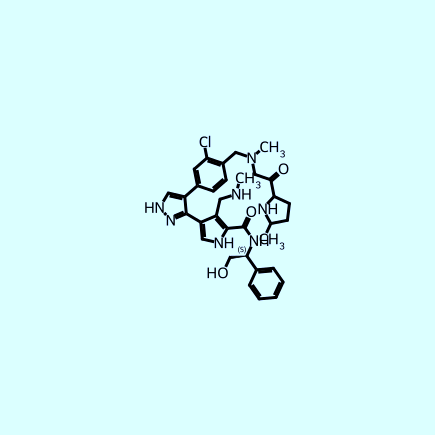 CNCc1c(-c2n[nH]cc2-c2ccc(CN(C)CC(=O)C3CCC(C)N3)c(Cl)c2)c[nH]c1C(=O)N[C@H](CO)c1ccccc1